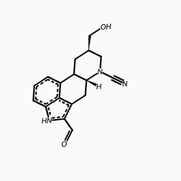 N#CN1C[C@H](CO)CC2c3cccc4[nH]c(C=O)c(c34)C[C@H]21